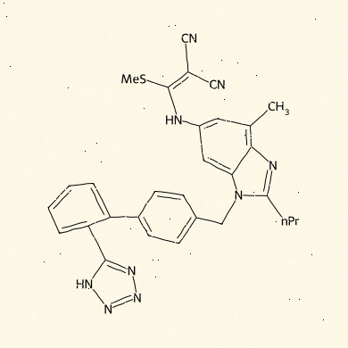 CCCc1nc2c(C)cc(NC(SC)=C(C#N)C#N)cc2n1Cc1ccc(-c2ccccc2-c2nnn[nH]2)cc1